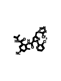 C=C(C)NC(=O)c1cc(C#N)cc(C)c1NC(=O)c1cc(Cn2nnnc2C(F)(F)F)nn1-c1ncccc1Cl